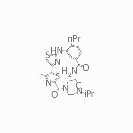 CCCc1ccc(C(N)=O)cc1Nc1nc(-c2sc(C(=O)N3CCCN(C(C)C)CC3)nc2C)cs1